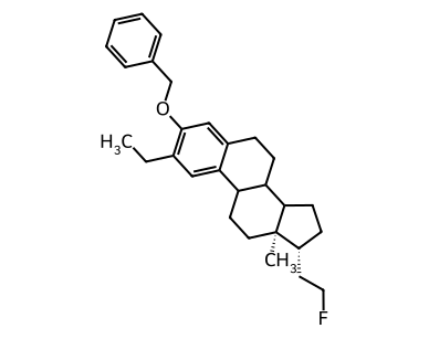 CCc1cc2c(cc1OCc1ccccc1)CCC1C2CC[C@@]2(C)C1CC[C@@H]2CCF